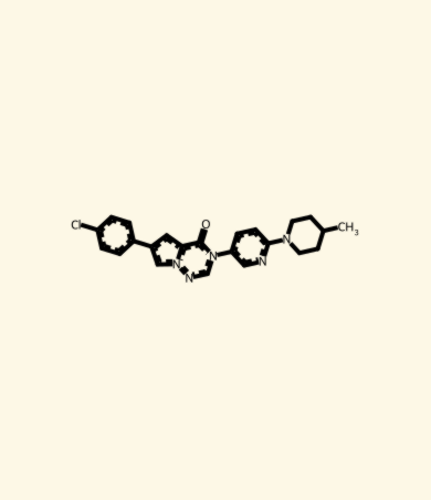 CC1CCN(c2ccc(-n3cnn4cc(-c5ccc(Cl)cc5)cc4c3=O)cn2)CC1